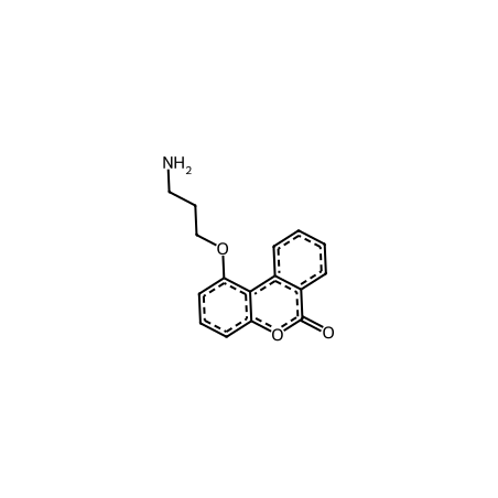 NCCCOc1cccc2oc(=O)c3ccccc3c12